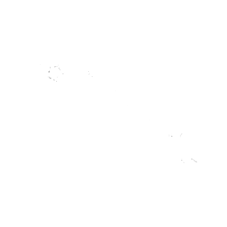 CCOC(=O)c1cnn(C2CCN(CCOCCOCCOCCNC(=O)C3CC(=O)N(C)C3)CC2)c1